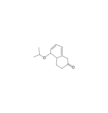 CC(C)OC1C=CC=C2CC(=O)CCC21